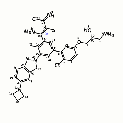 CNC[C@@H](O)COc1ccc(Cl)c(-c2nc(/C(NC)=C(\C)C(=N)Cl)c(C)c(N3Cc4cnc(N5CCC5)cc4C3)n2)c1